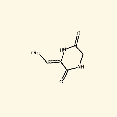 CCCC/C=C1\NC(=O)CNC1=O